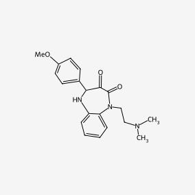 COc1ccc(C2Nc3ccccc3N(CCN(C)C)C(=O)C2=O)cc1